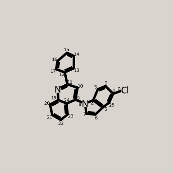 Clc1ccc2c(ccn2-c2cc(-c3ccccc3)nc3ccccc23)c1